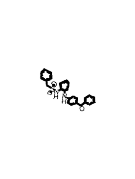 O=C(c1ccccc1)c1ccc(Nc2ccccc2NS(=O)(=O)Cc2ccccc2)cc1